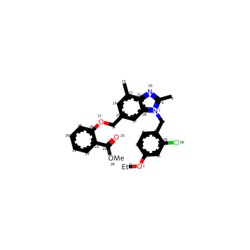 CCOc1ccc(Cn2c(C)nc3c(C)cc(COc4ccccc4C(=O)OC)cc32)c(Cl)c1